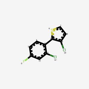 Fc1ccc(-c2sccc2Cl)c(Cl)c1